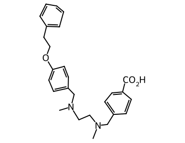 CN(CCN(C)Cc1ccc(C(=O)O)cc1)Cc1ccc(OCCc2ccccc2)cc1